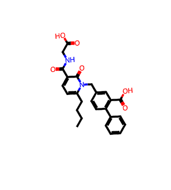 CCCCc1ccc(C(=O)NCC(=O)O)c(=O)n1Cc1ccc(-c2ccccc2)c(C(=O)O)c1